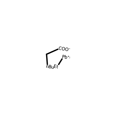 CCCCCC(=O)[O-].C[CH2][Pb+]